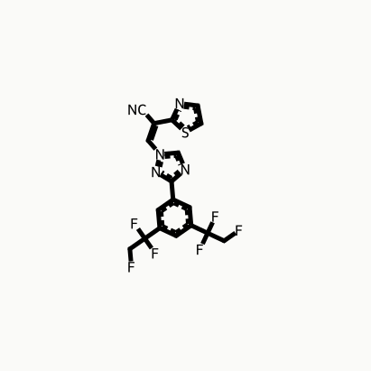 N#CC(=Cn1cnc(-c2cc(C(F)(F)CF)cc(C(F)(F)CF)c2)n1)c1nccs1